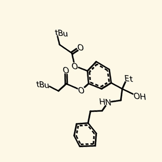 CCC(O)(CNCCc1ccccc1)c1ccc(OC(=O)CC(C)(C)C)c(OC(=O)CC(C)(C)C)c1